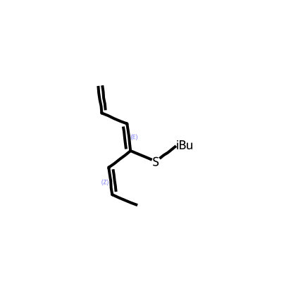 C=C/C=C(\C=C/C)SC(C)CC